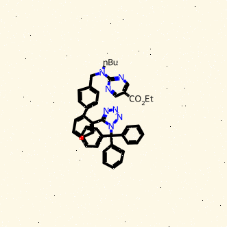 CCCCN(Cc1ccc(-c2ccccc2-c2nnnn2C(c2ccccc2)(c2ccccc2)c2ccccc2)cc1)c1ncc(C(=O)OCC)cn1